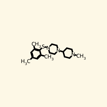 Cc1cc(C)c(SN2CCN(C3CCN(C)CC3)CC2)c(C)c1